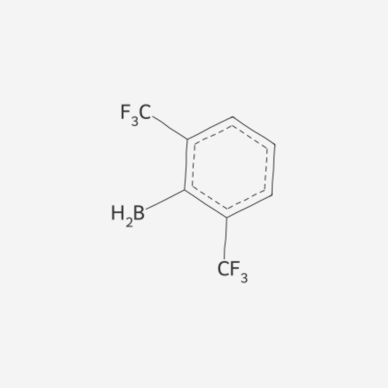 Bc1c(C(F)(F)F)cccc1C(F)(F)F